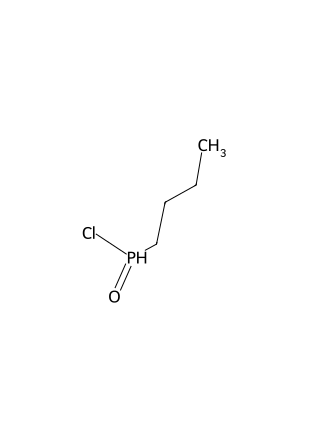 CCCC[PH](=O)Cl